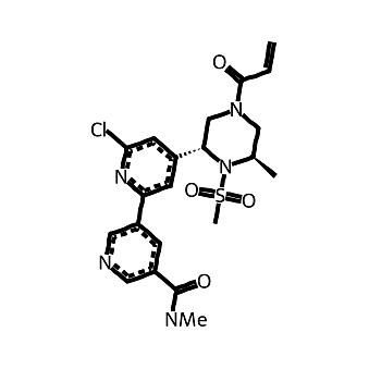 C=CC(=O)N1C[C@@H](C)N(S(C)(=O)=O)[C@H](c2cc(Cl)nc(-c3cncc(C(=O)NC)c3)c2)C1